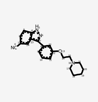 N#Cc1ccc2[nH]nc(-c3cccc(OCCN4CCCCC4)c3)c2c1